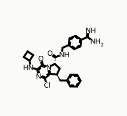 N=C(N)c1ccc(CNC(=O)[C@@H]2C[C@@H](Cc3ccccc3)c3c(Cl)nc(NC4CCC4)c(=O)n32)cc1